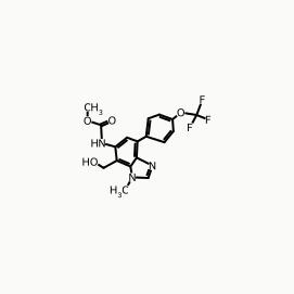 COC(=O)Nc1cc(-c2ccc(OC(F)(F)F)cc2)c2ncn(C)c2c1CO